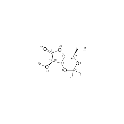 C=C[C@H]1OC(C)(C)OC2C1OC(=O)[C@@H]2OC